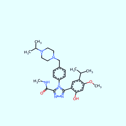 CNC(=O)c1nnc(-c2cc(C(C)C)c(OC)cc2O)n1-c1ccc(CN2CCN(C(C)C)CC2)cc1